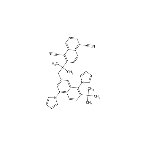 CC(C)(C)c1ccc2c(-n3cccc3)cc(CC(C)(C)c3ccc4c(C#N)cccc4c3C#N)cc2c1-n1cccc1